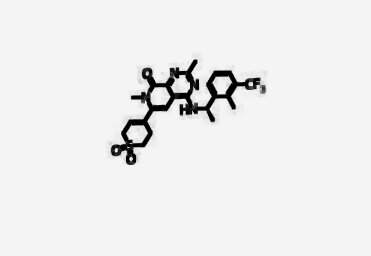 Cc1nc(N[C@H](C)c2cccc(C(F)(F)F)c2C)c2cc(C3=CCS(=O)(=O)CC3)n(C)c(=O)c2n1